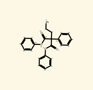 CC(C)CCC(C(=O)Oc1ccccc1)(C(=O)Oc1ccccc1)c1ccccc1